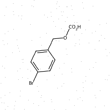 O=C(O)OCc1ccc(Br)cc1